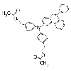 CC(=O)OCCc1ccc(N(c2ccc(C=C(c3ccccc3)c3ccccc3)cc2)c2ccc(CCOC(C)=O)cc2)cc1